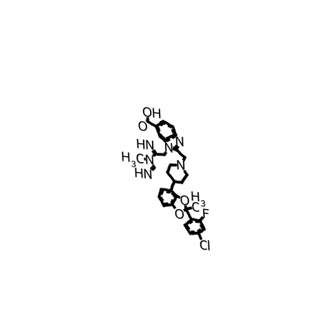 CN(C=N)C(=N)Cn1c(CN2CCC(c3cccc4c3OC(C)(c3ccc(Cl)cc3F)O4)CC2)nc2ccc(C(=O)O)cc21